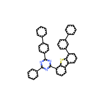 c1ccc(-c2ccc(-c3nc(-c4ccccc4)nc(-c4cccc5c4sc4c(-c6cccc(-c7ccccc7)c6)cccc45)n3)cc2)cc1